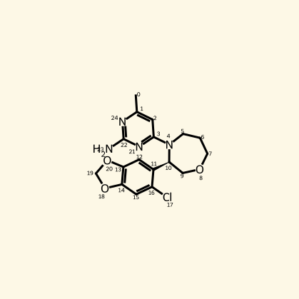 Cc1cc(N2CCCOC[C@H]2c2cc3c(cc2Cl)OCO3)nc(N)n1